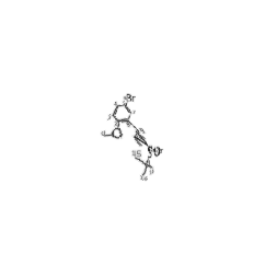 COc1ccc(Br)cc1C=N[S@@+]([O-])C(C)(C)C